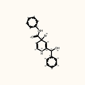 O=C(Nc1ccccc1)C1(Br)C=CNC(C(O)c2ccccc2)=C1